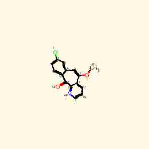 COc1cc2cc(Cl)ccc2c(=O)c2ncccc12